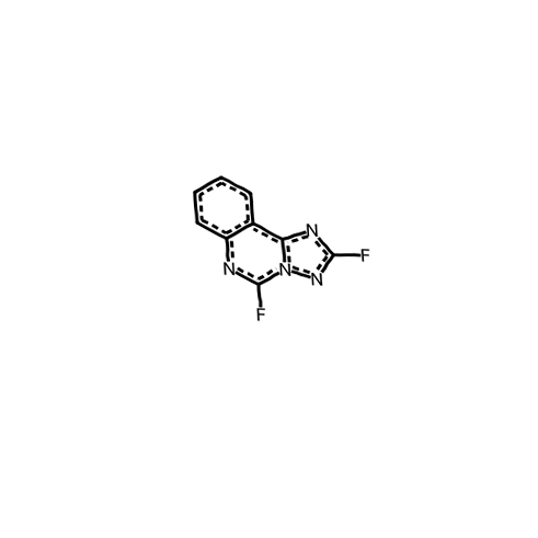 Fc1nc2c3ccccc3nc(F)n2n1